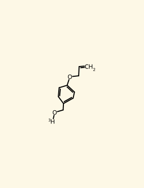 [3H]OCc1ccc(OCC=C)cc1